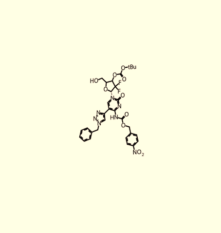 CC(C)(C)OC(=O)OC1C(CO)O[C@@H](n2cc(-c3cn(Cc4ccccc4)nn3)c(NC(=O)OCc3ccc([N+](=O)[O-])cc3)nc2=O)C1(F)F